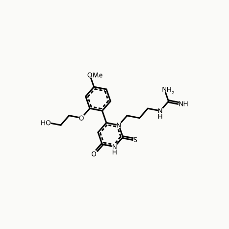 COc1ccc(-c2cc(=O)[nH]c(=S)n2CCCNC(=N)N)c(OCCO)c1